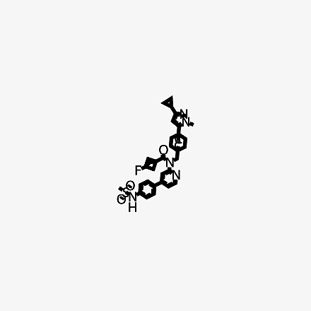 Cn1nc(C2CC2)cc1C12CCC(CN(C(=O)C34CC(F)(C3)C4)c3cc(-c4ccc(NS(C)(=O)=O)cc4)ccn3)(CC1)CC2